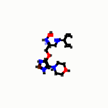 CC(C)NC/C(COc1nsnc1N1CCOCC1)=N\O